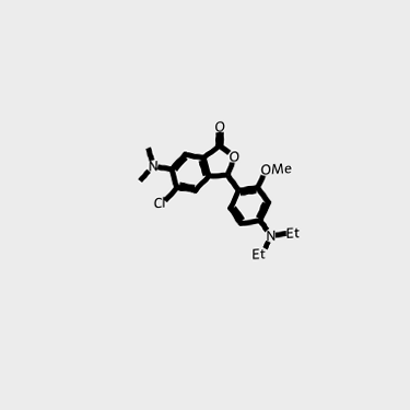 CCN(CC)c1ccc(C2OC(=O)c3cc(N(C)C)c(Cl)cc32)c(OC)c1